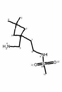 CC1(C)CC(CN)(CCNS(C)(=O)=O)C1